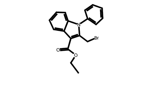 CCOC(=O)c1c(CBr)n(-c2ccccc2)c2ccccc12